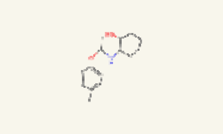 Cc1ccc(OC(C)NC2CCCCC2O)cc1